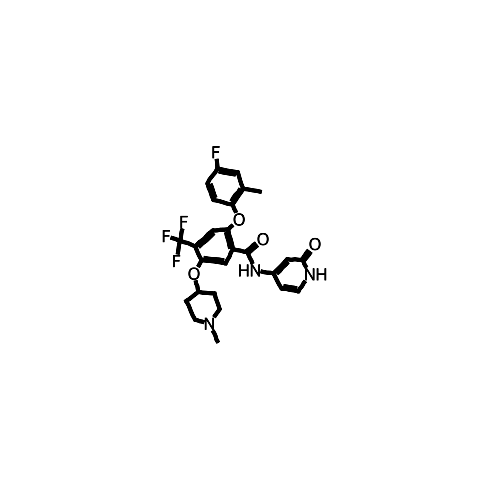 Cc1cc(F)ccc1Oc1cc(C(F)(F)F)c(OC2CCN(C)CC2)cc1C(=O)Nc1cc[nH]c(=O)c1